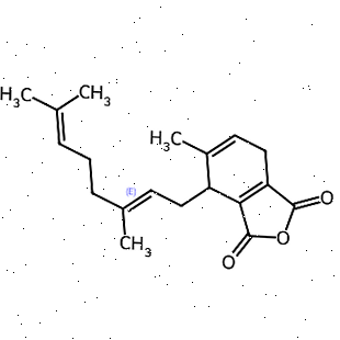 CC(C)=CCC/C(C)=C/CC1C(C)=CCC2=C1C(=O)OC2=O